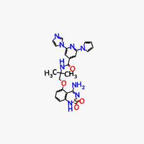 CC(C)(COc1cccc2c1C(N)=NS(=O)(=O)N2)NC(=O)c1cc(-n2cccc2)nc(-n2ccnc2)c1